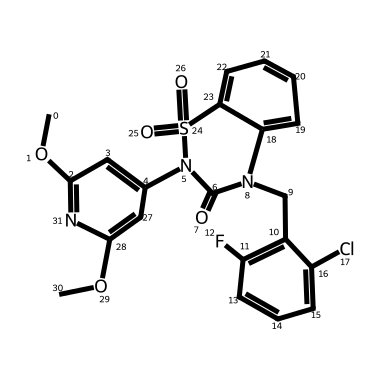 COc1cc(N2C(=O)N(Cc3c(F)cccc3Cl)c3ccccc3S2(=O)=O)cc(OC)n1